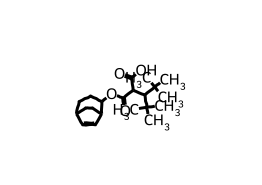 CC(C)(C)C(C(C(=O)O)C(=O)OC1CCC2C=CC1CC2)C(C)(C)C